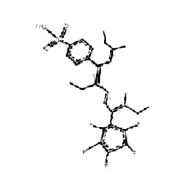 CC\C(C)=C/C(=C(\C=C\C(=C(/C)CC)c1c(F)c(F)c(F)c(F)c1F)CC)c1ccc(S(=O)(=O)O)cc1